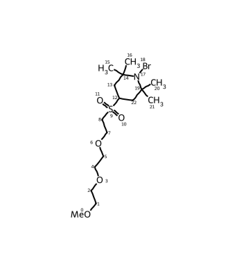 COCCOCCOCCS(=O)(=O)C1CC(C)(C)N(Br)C(C)(C)C1